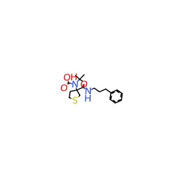 CC(C)(C)N(C(=O)O)C1(C(=O)NCCCc2ccccc2)CCSC1